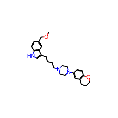 COCc1ccc2[nH]cc(CCCCN3CCN(c4ccc5c(c4)CCCO5)CC3)c2c1